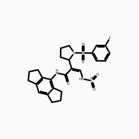 O=C(Nc1c2c(cc3c1CCC3)CCC2)C(=CN[SH](=O)=O)C1CCCN1S(=O)(=O)c1cccc(F)c1